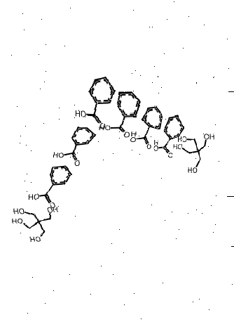 O=C(O)c1ccccc1.O=C(O)c1ccccc1.O=C(O)c1ccccc1.O=C(O)c1ccccc1.O=C(O)c1ccccc1.O=C(O)c1ccccc1.OCC(CO)(CO)CO.OCC(CO)(CO)CO